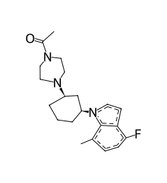 CC(=O)N1CCN([C@@H]2CCC[C@H](n3ccc4c(F)ccc(C)c43)C2)CC1